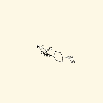 CC(C)N[C@H]1CC[C@@H](NS(C)(=O)=O)CC1